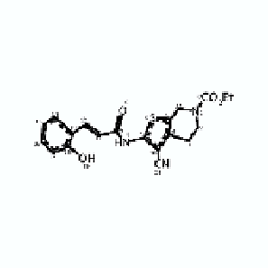 CCOC(=O)N1CCc2c(sc(NC(=O)/C=C/c3ccccc3O)c2C#N)C1